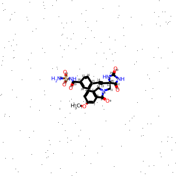 COc1ccc2c(c1)C(=O)N(C[C@@]1(C#Cc3ccc(C(=O)NS(N)(=O)=O)cc3)NC(=O)NC1=O)C2